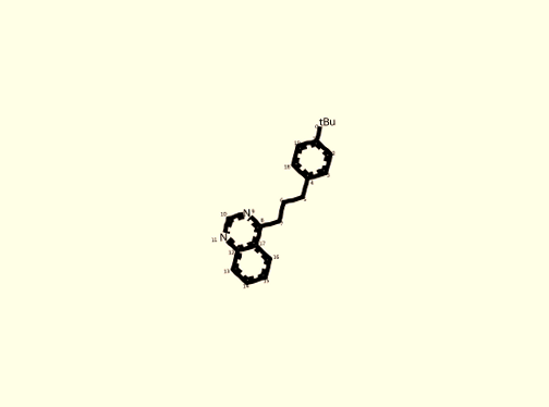 CC(C)(C)c1ccc(CCCc2ncnc3ccccc23)cc1